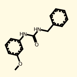 COc1cccc(NC(=O)NCc2ccccc2)c1